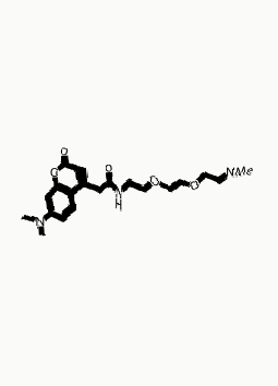 CNCCOCCOCCNC(=O)Cc1cc(=O)oc2cc(N(C)C)ccc12